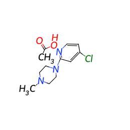 CC(=O)O.CN1CCN(c2cc(Cl)ccn2)CC1